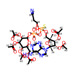 CC(=O)OCC1OC(OP(=O)(O)OP(=S)(OCCC#N)OC[C@@]2(C)O[C@@](C)(n3cnc4c(N)ncnc43)[C@@H](OC(C)=O)[C@H]2OC(C)=O)C(OC(C)=O)C(OC(C)=O)C1OC(C)=O